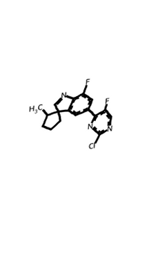 CC1CCCC12C=Nc1c(F)cc(-c3nc(Cl)ncc3F)cc12